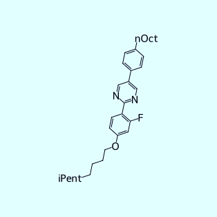 CCCCCCCCc1ccc(-c2cnc(-c3ccc(OCCCCC(C)CCC)cc3F)nc2)cc1